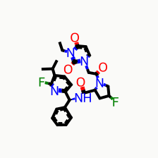 CCn1c(=O)ccn(CC(=O)N2CC(F)CC2C(=O)N[C@@H](c2ccccc2)c2ccc(C(C)C)c(F)n2)c1=O